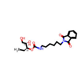 BC[C@H](OC(=O)NCCCCCCN1C(=O)c2ccccc2C1=O)[C@@H](O)CO